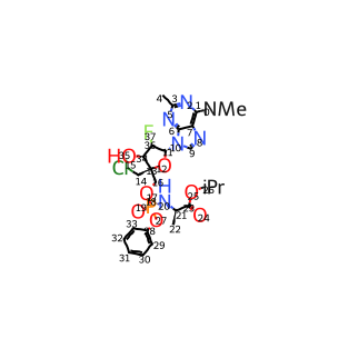 CNc1nc(C)nc2c1ncn2[C@@H]1O[C@](CCl)(CO[P@](=O)(N[C@H](C)C(=O)OC(C)C)Oc2ccccc2)[C@@H](O)[C@H]1F